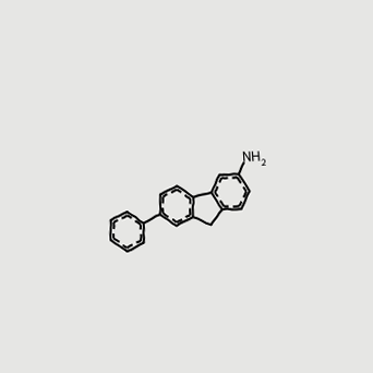 Nc1ccc2c(c1)-c1ccc(-c3ccccc3)cc1C2